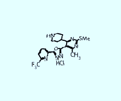 CSc1nc(C)c(-c2nnc(-c3cccc(C(F)(F)F)n3)o2)c(C2CCNCC2)n1.Cl